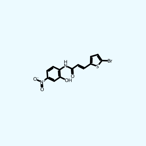 O=C(/C=C/c1ccc(Br)s1)Nc1ccc([N+](=O)[O-])cc1O